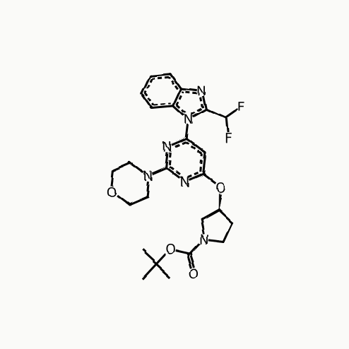 CC(C)(C)OC(=O)N1CC[C@H](Oc2cc(-n3c(C(F)F)nc4ccccc43)nc(N3CCOCC3)n2)C1